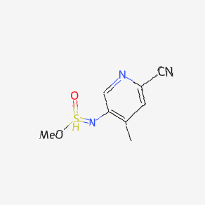 CO[SH](=O)=Nc1cnc(C#N)cc1C